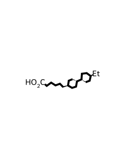 CC[C@H]1CC[C@H]([C@H]2CC[C@H](CCCCCC(=O)O)CC2)CC1